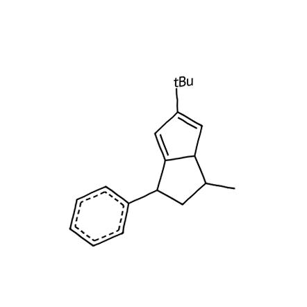 CC1CC(c2ccccc2)C2=CC(C(C)(C)C)=CC21